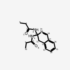 CCC(=O)NC1(NC(=O)CC)Cc2ccccc2C=N1